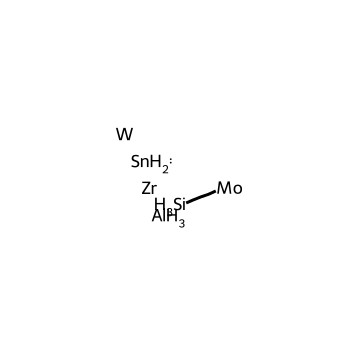 [AlH3].[SiH3][Mo].[SnH2].[W].[Zr]